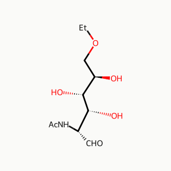 CCOC[C@@H](O)[C@@H](O)[C@H](O)[C@H](C=O)NC(C)=O